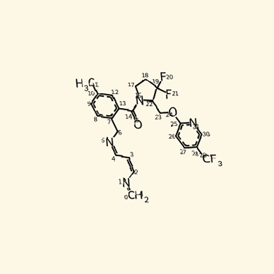 C=N/C=C\C=N/Cc1ccc(C)cc1C(=O)N1CCC(F)(F)C1COc1ccc(C(F)(F)F)cn1